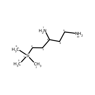 C[Si](C)(C)CCC(N)CCN